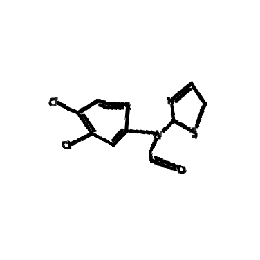 O=CN(c1ccc(Cl)c(Cl)c1)C1N=CCS1